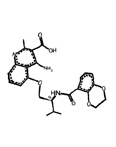 Cc1nc2cccc(OC[C@@H](NC(=O)c3cccc4c3OCCO4)C(C)C)c2c(N)c1C(=O)O